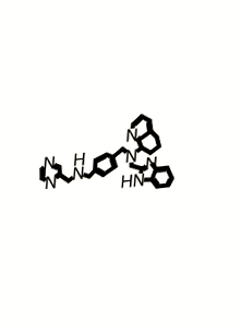 c1cnc2c(c1)CCCC2N(Cc1ccc(CNCc2cnccn2)cc1)Cc1nc2ccccc2[nH]1